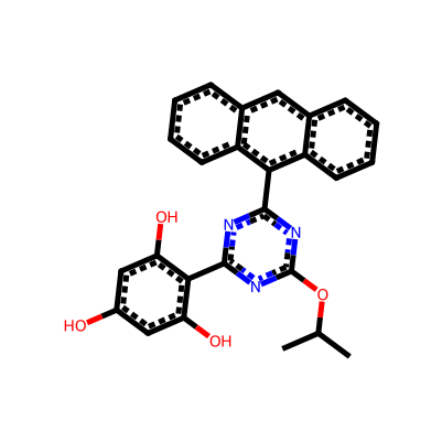 CC(C)Oc1nc(-c2c(O)cc(O)cc2O)nc(-c2c3ccccc3cc3ccccc23)n1